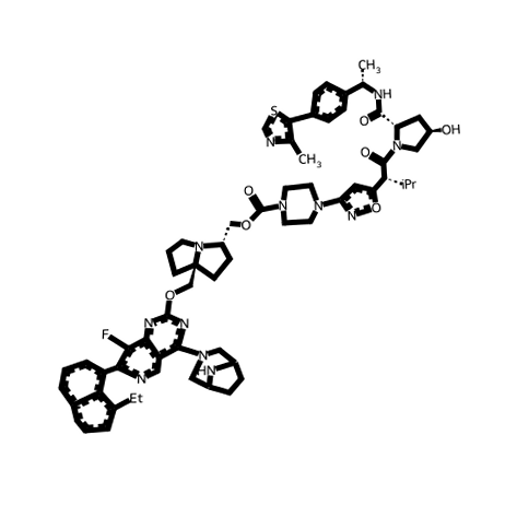 CCc1cccc2cccc(-c3ncc4c(N5CC6CCC(C5)N6)nc(OC[C@@]56CCCN5[C@H](COC(=O)N5CCN(c7cc([C@H](C(=O)N8C[C@H](O)C[C@H]8C(=O)N[C@@H](C)c8ccc(-c9scnc9C)cc8)C(C)C)on7)CC5)CC6)nc4c3F)c12